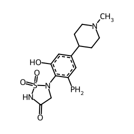 CN1CCC(c2cc(O)c(N3CC(=O)NS3(=O)=O)c(P)c2)CC1